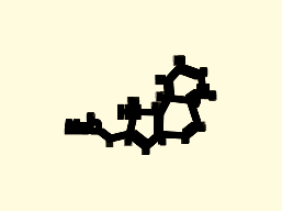 COCc1cc2ccc3ncccc3c2[nH]1